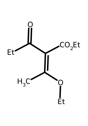 CCOC(=O)C(C(=O)CC)=C(C)OCC